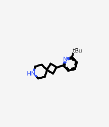 CC(C)(C)c1cccc(C2CC3(CCNCC3)C2)n1